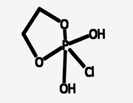 OP1(O)(Cl)OCCO1